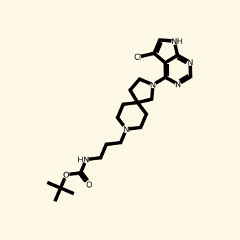 CC(C)(C)OC(=O)NCCCN1CCC2(CC1)CCN(c1ncnc3[nH]cc(Cl)c13)C2